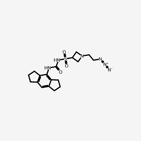 [N-]=[N+]=NCCN1CC(S(=O)(=O)NC(=O)Nc2c3c(cc4c2CCC4)CCC3)C1